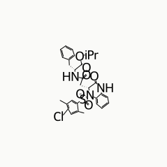 Cc1cc(S(=O)(=O)N2c3ccccc3NC(=O)[C@H]2CC(=O)N[C@H](Cc2ccccc2)C(=O)OC(C)C)c(C)cc1Cl